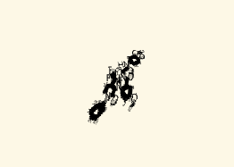 COc1ccc(-n2nc(C(F)(F)F)c3c2C(=O)N(c2ccccc2)CC3)c(C(=O)N[C@H](C)C(=O)Nc2ccc3c(c2)OCO3)c1